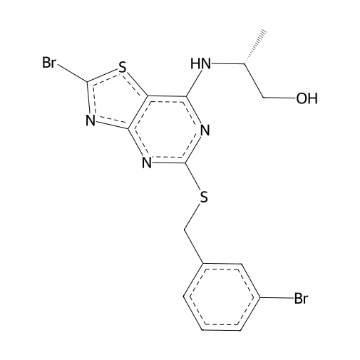 C[C@H](CO)Nc1nc(SCc2cccc(Br)c2)nc2nc(Br)sc12